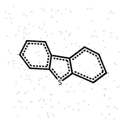 [c]1ccc2c(c1)sc1c[c]ccc12